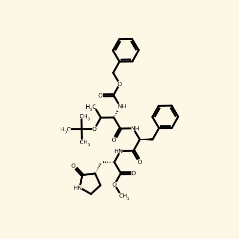 COC(=O)[C@H](C[C@@H]1CCNC1=O)NC(=O)[C@H](Cc1ccccc1)NC(=O)[C@@H](NC(=O)OCc1ccccc1)C(C)OC(C)(C)C